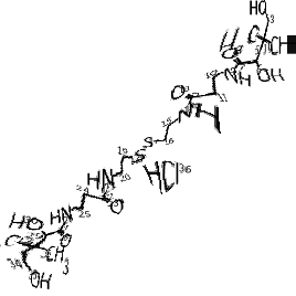 CC(C)(CO)C(O)C(=O)NCCC(=O)NCCSSCCNC(=O)CCNC(=O)C(O)C(C)(C)CO.Cl